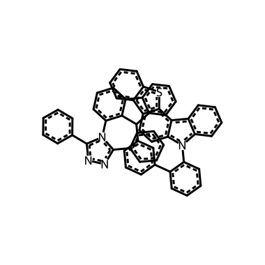 c1ccc(-c2nnc(-c3ccccc3)n2-c2cccc3c2C(c2cccc(-c4ccccc4-n4c5ccccc5c5c6sc7ccccc7c6ccc54)c2)c2ccccc2-3)cc1